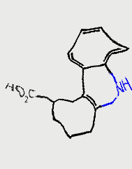 O=C(O)C1CCCc2[nH]c3ccccc3c21